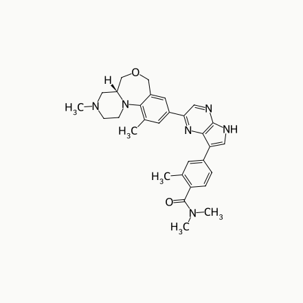 Cc1cc(-c2c[nH]c3ncc(-c4cc(C)c5c(c4)COC[C@H]4CN(C)CCN54)nc23)ccc1C(=O)N(C)C